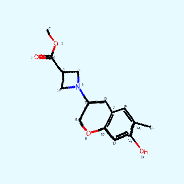 COC(=O)C1CN(C2COc3cc(O)c(C)cc3C2)C1